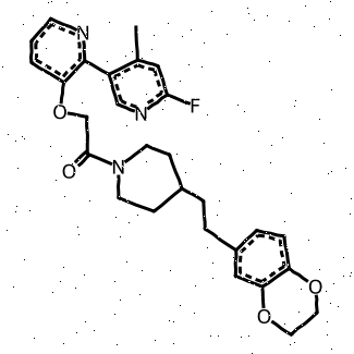 Cc1cc(F)ncc1-c1ncccc1OCC(=O)N1CCC(CCc2ccc3c(c2)OCCO3)CC1